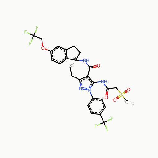 CS(=O)(=O)CC(=O)Nc1c2c(nn1-c1ccc(C(F)(F)F)cc1)CC[C@]1(CCc3cc(OCC(F)(F)F)ccc31)NC2=O